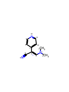 CN(C)/C=C(/C#N)c1ccncc1